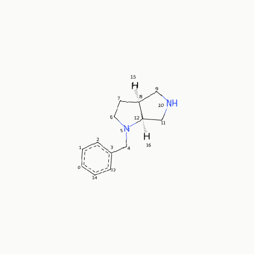 c1ccc(CN2CC[C@H]3CNC[C@H]32)cc1